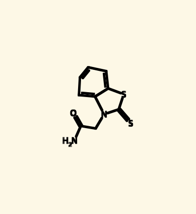 NC(=O)Cn1c(=S)sc2ccccc21